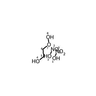 O=[N+]([O-])O.O=[N+]([O-])O.OCCOO